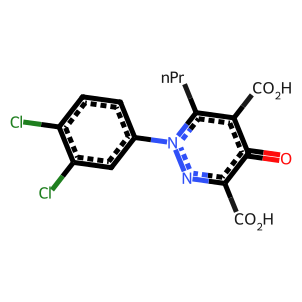 CCCc1c(C(=O)O)c(=O)c(C(=O)O)nn1-c1ccc(Cl)c(Cl)c1